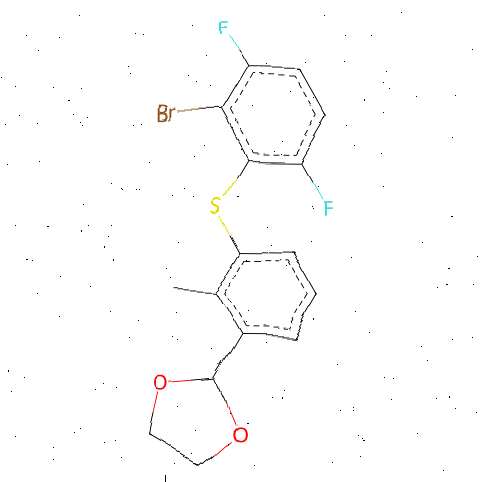 Cc1c(Sc2c(F)ccc(F)c2Br)cccc1C1OCCO1